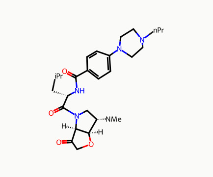 CCCN1CCN(c2ccc(C(=O)N[C@@H](CC(C)C)C(=O)N3C[C@H](NC)[C@H]4OCC(=O)[C@H]43)cc2)CC1